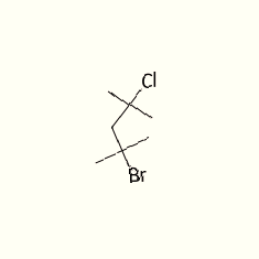 CC(C)(Cl)CC(C)(C)Br